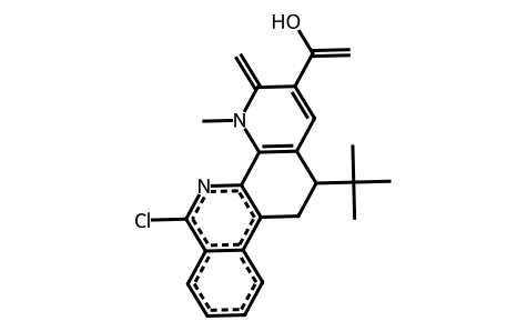 C=C(O)C1=CC2=C(c3nc(Cl)c4ccccc4c3CC2C(C)(C)C)N(C)C1=C